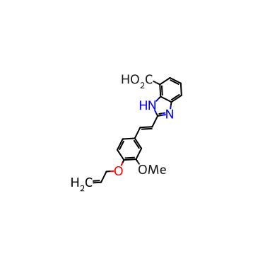 C=CCOc1ccc(C=Cc2nc3cccc(C(=O)O)c3[nH]2)cc1OC